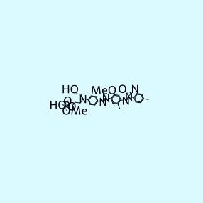 COc1cc(/N=N/c2ccc(C)cc2[N+](=O)[O-])c(C)cc1/N=N/c1ccc(N(CCO)CCOP(=O)(O)OC)cc1